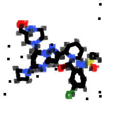 C[S+]([O-])Nc1ccc(Cl)cc1C(=O)N1CCCCC1c1cc2nc(N3CCC3)cc(N3CCNC(CO)C3)n2n1